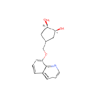 O[C@@H]1CC(COc2cccc3cccnc23)C[C@@H]1O